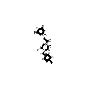 C[C@@H]1CN(C(=O)COc2cc(F)cc(F)c2)[C@@H](C)CN1Cc1ccc(F)cc1